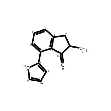 CC1Cc2cccc(-c3ccco3)c2C1=O